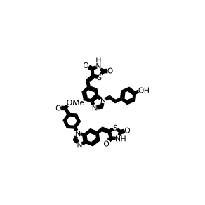 COC(=O)C1CCC(n2cnc3ccc(C=C4SC(=O)NC4=O)cc32)CC1.O=C1NC(=O)C(=Cc2ccc3ncn(CCc4ccc(O)cc4)c3c2)S1